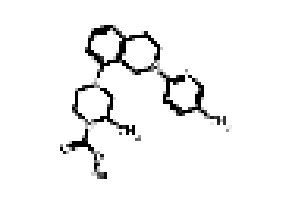 Cc1ccc(N2CCc3cccc(N4CCN(C(=O)OC(C)(C)C)C(C)C4)c3C2)nc1